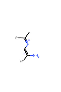 CC/C(C)=N\C=C(/N)C(C)C